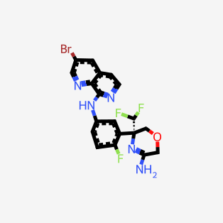 NC1=N[C@](c2cc(Nc3nccc4cc(Br)cnc34)ccc2F)(C(F)F)COC1